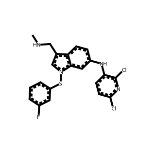 CNCc1cn(Sc2cccc(F)c2)c2cc(Nc3ccc(Cl)nc3Cl)ccc12